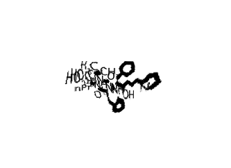 CCC[C@H](NC(=O)[C@H](Cc1ccccc1)N(N[C@@H](CC1CCCCC1)[C@@H](O)CCCc1ccccn1)C(=O)NC(C)(C)C(=O)O)C(=O)O